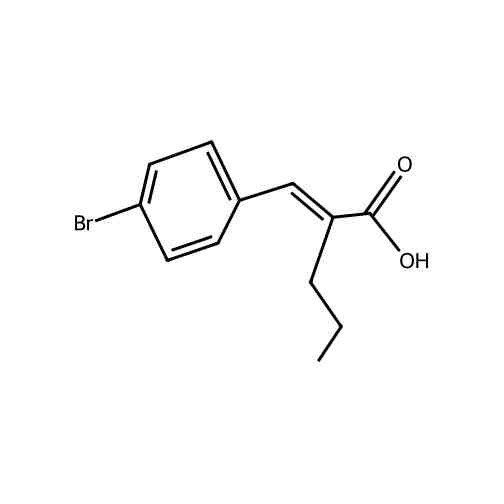 CCC/C(=C\c1ccc(Br)cc1)C(=O)O